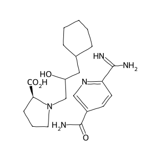 N=C(N)c1ccc(C(N)=O)cn1.O=C(O)[C@@H]1CCCN1CC(O)CC1CCCCC1